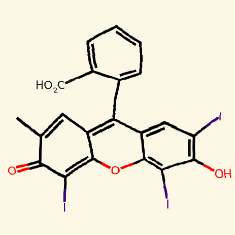 Cc1cc2c(-c3ccccc3C(=O)O)c3cc(I)c(O)c(I)c3oc-2c(I)c1=O